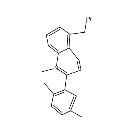 Cc1ccc(C)c(-c2ccc3c(CC(C)C)cccc3[n+]2C)c1